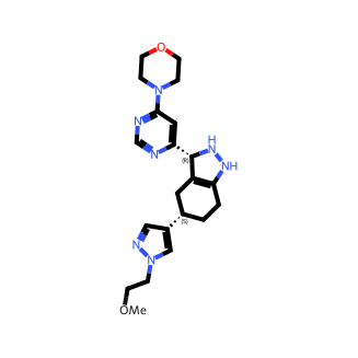 COCCn1cc([C@H]2CCC3=C(C2)[C@H](c2cc(N4CCOCC4)ncn2)NN3)cn1